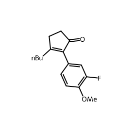 CCCCC1=C(c2ccc(OC)c(F)c2)C(=O)CC1